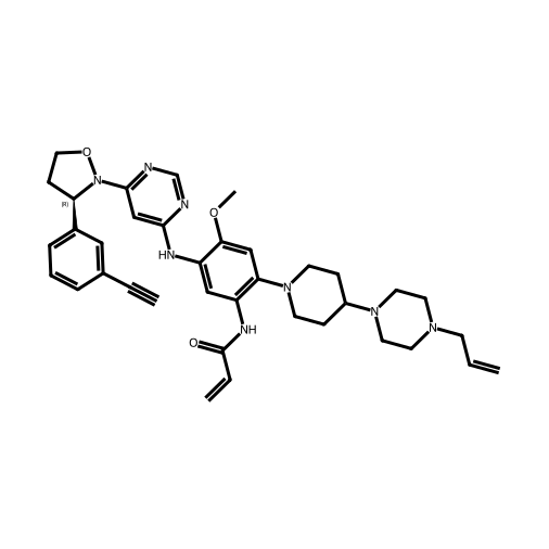 C#Cc1cccc([C@H]2CCON2c2cc(Nc3cc(NC(=O)C=C)c(N4CCC(N5CCN(CC=C)CC5)CC4)cc3OC)ncn2)c1